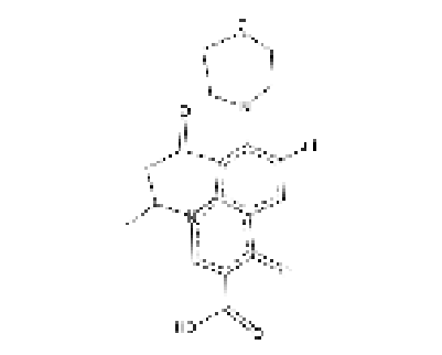 CC1CC(=O)c2c(N3CCNCC3)c(Cl)cc3c(=O)c(C(=O)O)cn1c23